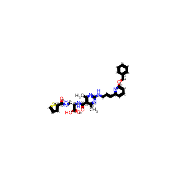 Cc1nc(NCC=Cc2cccc(OCc3ccccc3)n2)nc(C)c1C(=O)N[C@@H](CNC(=O)c1cccs1)C(=O)O